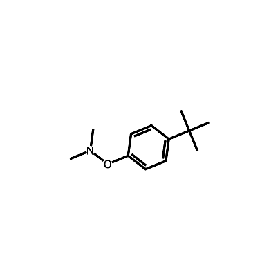 CN(C)Oc1ccc(C(C)(C)C)cc1